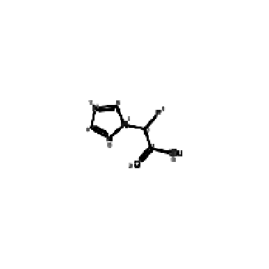 CC(C)(C)C(=O)C(F)n1cncn1